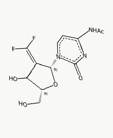 CC(=O)Nc1ccn([C@@H]2O[C@H](CO)C(O)C2=C(F)F)c(=O)n1